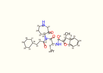 Cc1c(C(=O)NC(CC(C)C)C(=O)N(C(=O)CCC2CCCCC2)[C@H]2CCCNCC2=O)oc2ccccc12